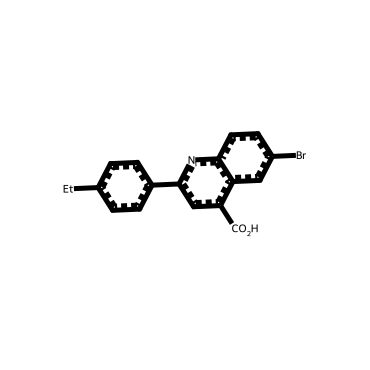 CCc1ccc(-c2cc(C(=O)O)c3cc(Br)ccc3n2)cc1